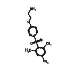 Cc1cc(C)c(S(=O)(=O)c2ccc(OCCN)cc2)c(C)c1